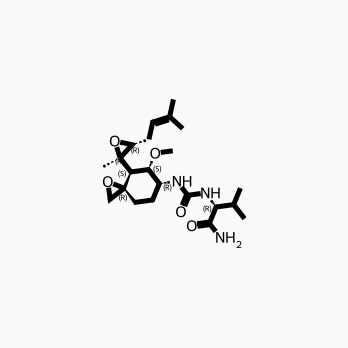 CO[C@@H]1[C@H](NC(=O)N[C@@H](C(N)=O)C(C)C)CC[C@]2(CO2)[C@H]1[C@@]1(C)O[C@@H]1CC=C(C)C